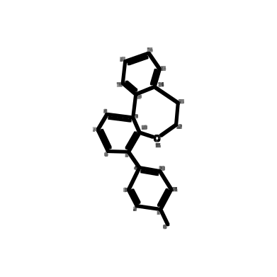 Cc1ccc(-c2cccc3c2OCCc2ccccc2-3)cc1